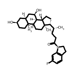 C[C@H](CCC(=O)N1CCc2ccc(F)cc21)[C@H]1CC[C@H]2[C@@H]3[C@H](O)C[C@@H]4C[C@H](O)CC[C@]4(C)[C@H]3CC[C@]12C